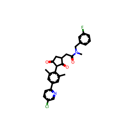 Cc1cc(-c2ccc(Cl)cn2)cc(C)c1C1C(=O)CC(CC(=O)N(C)Cc2cccc(F)c2)C1=O